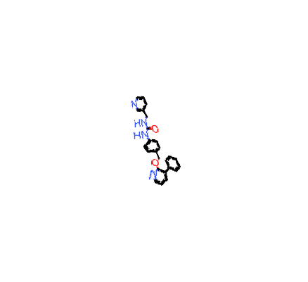 O=C(NCc1cccnc1)Nc1ccc(COc2ncccc2-c2ccccc2)cc1